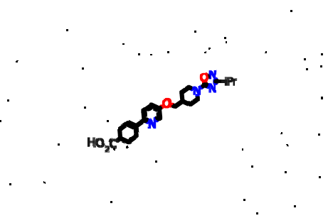 CC(C)c1noc(N2CCC(COc3ccc(C4=CCC(C(=O)O)CC4)nc3)CC2)n1